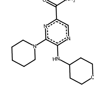 NC(=O)c1cnc(NC2CCOCC2)c(N2CCCCC2)n1